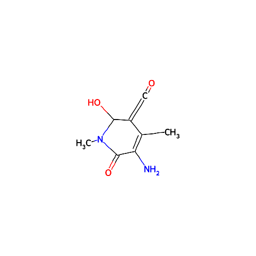 CC1=C(N)C(=O)N(C)C(O)C1=C=O